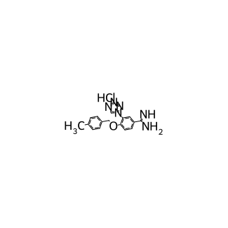 Cc1ccc(COc2ccc(C(=N)N)cc2-n2cnnn2)cc1.Cl